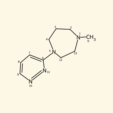 CN1CCCN(c2cccnn2)CC1